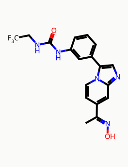 CC(=NO)c1ccn2c(-c3cccc(NC(=O)NCC(F)(F)F)c3)cnc2c1